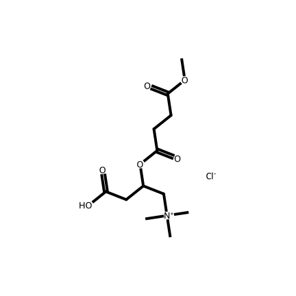 COC(=O)CCC(=O)OC(CC(=O)O)C[N+](C)(C)C.[Cl-]